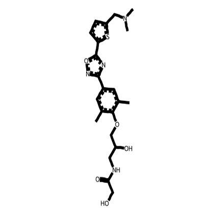 Cc1cc(-c2noc(-c3ccc(CN(C)C)s3)n2)cc(C)c1OCC(O)CNC(=O)CO